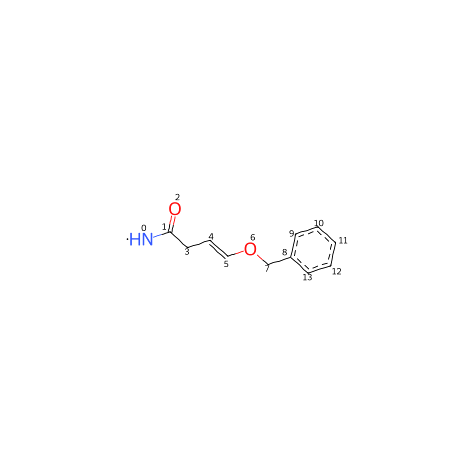 [NH]C(=O)CC=COCc1ccccc1